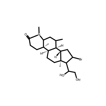 CC1CC2N(C)C(=O)CC[C@]2(C)[C@@H]2CC[C@]3(C)C(C(O)CO)C(Br)C[C@H]3[C@H]12